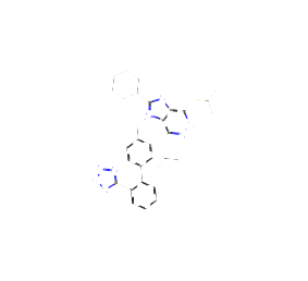 CC(C)Sc1nnc(SC(C)C)c2c1nc(C1CCCCC1)n2Cc1ccc(-c2ccccc2-c2nnn[nH]2)cc1